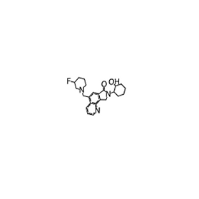 O=C1c2cc(CN3CCCC(F)C3)c3cccnc3c2CN1C1CCCCC1O